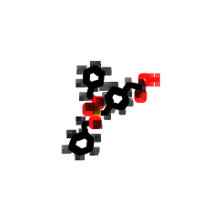 O=C(O)Cc1ccc(CP(=O)(OCc2ccccc2)OCc2ccccc2)cc1